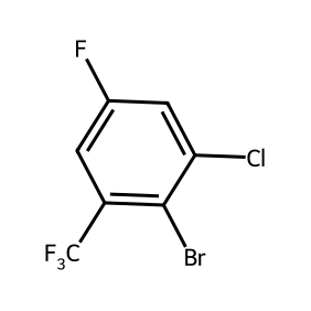 Fc1cc(Cl)c(Br)c(C(F)(F)F)c1